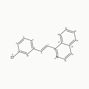 Clc1cccc(/C=C/c2nccc3ccccc23)c1